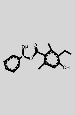 CCc1c(O)cc(C)c(C(=O)OP(O)c2ccccc2)c1C